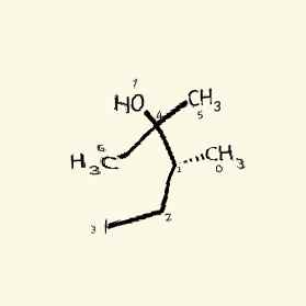 C[C@H](CI)C(C)(C)O